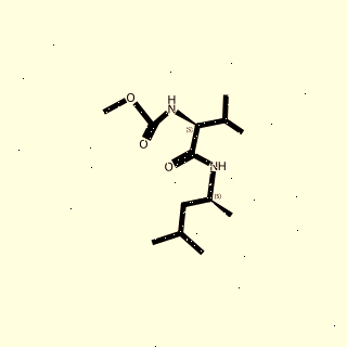 COC(=O)N[C@H](C(=O)N[C@@H](C)CC(C)C)C(C)C